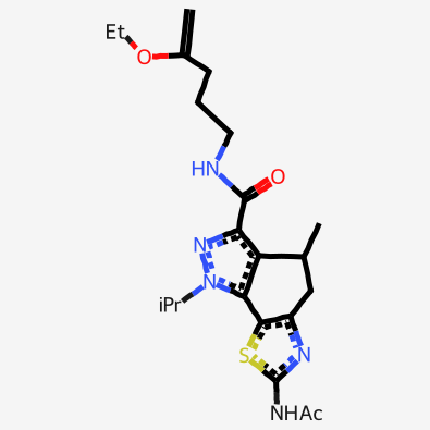 C=C(CCCNC(=O)c1nn(C(C)C)c2c1C(C)Cc1nc(NC(C)=O)sc1-2)OCC